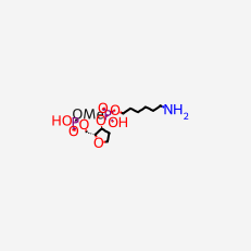 COP(=O)(O)OC[C@H]1OCC[C@H]1OP(=O)(O)OCCCCCCN